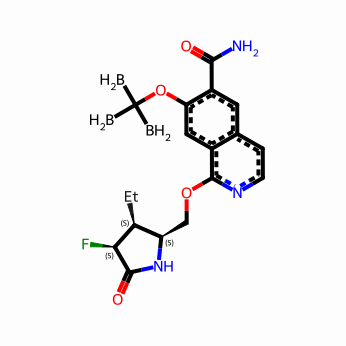 BC(B)(B)Oc1cc2c(OC[C@H]3NC(=O)[C@@H](F)[C@H]3CC)nccc2cc1C(N)=O